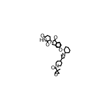 CC1(C(=O)N2CCC(C3CN([C@H]4CCCC[C@H]4Oc4ccc5c(c4)CN(C4CCC(=O)NC4=O)C5=O)C3)CC2)COC1